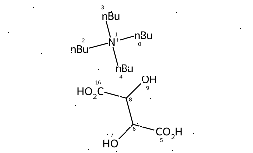 CCCC[N+](CCCC)(CCCC)CCCC.O=C(O)C(O)C(O)C(=O)O